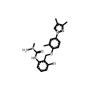 CCc1cccc(NC(=O)N(C)N)c1COc1ccc(-n2cc(C)c(C)n2)cc1C